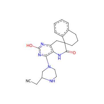 N#CCC1CN(c2nc(O)nc3c2NC(=O)C2(CCCc4ccccc42)C3)CCN1